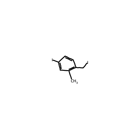 Cc1cc(I)ccc1CI